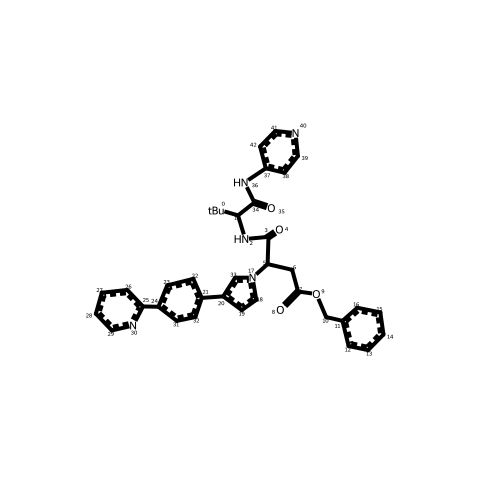 CC(C)(C)C(NC(=O)C(CC(=O)OCc1ccccc1)n1ccc(-c2ccc(-c3ccccn3)cc2)c1)C(=O)Nc1ccncc1